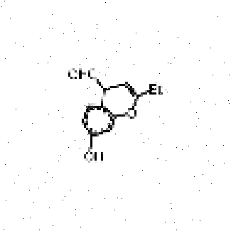 CCC1=CC(C=O)c2ccc(O)cc2O1